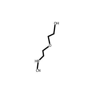 N#CBCCOCCO